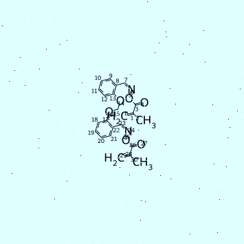 C=C(C)C(=O)O/N=C\c1ccccc1OCOc1ccccc1/C=N\OC(=O)C(=C)C